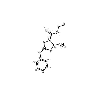 CCOC(=O)[C@@H]1CN(Cc2ccccc2)C[C@@H]1N